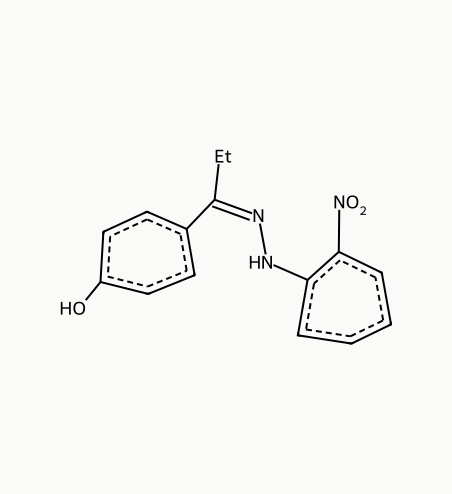 CCC(=NNc1ccccc1[N+](=O)[O-])c1ccc(O)cc1